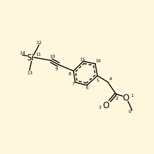 COC(=O)Cc1ccc(C#C[Si](C)(C)C)cc1